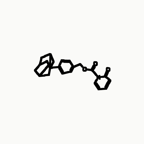 O=C(OCc1ccc(C23CC4CC(CC(C4)C2)C3)cc1)n1ccccc1=O